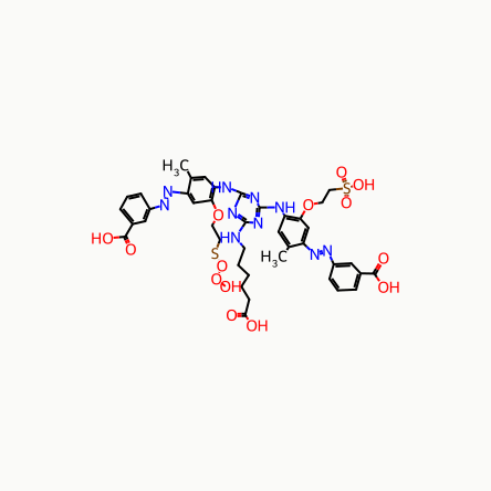 Cc1cc(Nc2nc(NCCCCCC(=O)O)nc(Nc3cc(C)c(N=Nc4cccc(C(=O)O)c4)cc3OCCS(=O)(=O)O)n2)c(OCCSOOO)cc1N=Nc1cccc(C(=O)O)c1